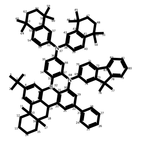 CC(C)(C)c1cc2c3c(c1)C1(C)CCCCC1(C)CC3c1cc(-c3ccccc3)cc3c1B2c1ccc(N(c2ccc4c(c2)C(C)(C)CCC4(C)C)c2ccc4c(c2)C(C)(C)CCC4(C)C)cc1N3c1ccc2c(c1)C(C)(C)c1ccccc1-2